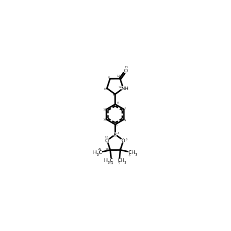 CC1(C)OB(c2ccc(C3CCC(=O)N3)cc2)OC1(C)C